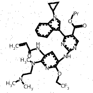 C=CC(=O)Nc1cc(Nc2ncc(C(=O)OC(C)C)c(-c3cn(C4CC4)c4ccccc34)n2)c(OCC(F)(F)F)nc1N(C)CCN(C)C